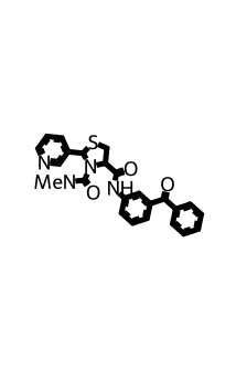 CNC(=O)N1C(C(=O)Nc2cccc(C(=O)c3ccccc3)c2)CSC1c1cccnc1